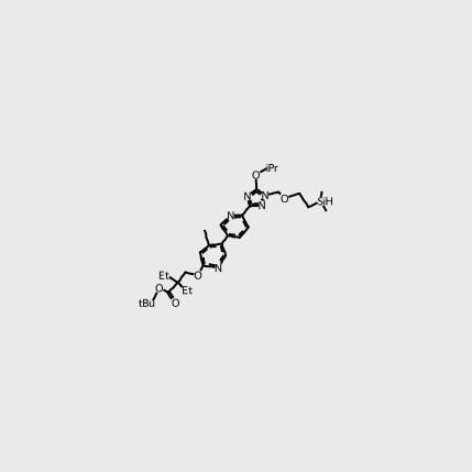 CCC(CC)(COc1cc(C)c(-c2ccc(-c3nc(OC(C)C)n(COCC[SiH](C)C)n3)nc2)cn1)C(=O)OC(C)(C)C